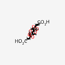 O=C(O)C=CC(=O)O[C@H]1CO[C@H]2[C@@H]1OC[C@H]2OC(=O)C=CC(=O)O